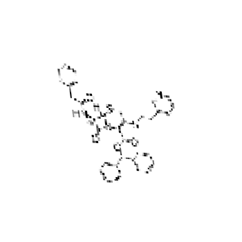 O=C(Cc1ccccc1)N[C@@H]1C(=O)N2C(C(=O)OC(c3ccccc3)c3ccccc3)=C(SCCc3cccnc3)CS[C@@H]12